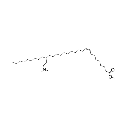 CCCCCCCCCC(CCCCCCCCCC/C=C\CCCCCCCC(=O)OC)CCN(C)C